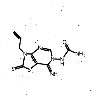 C=CCn1c(=S)sc2c(=N)n(NC(N)=O)cnc21